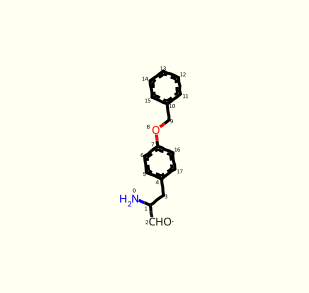 NC([C]=O)Cc1ccc(OCc2ccccc2)cc1